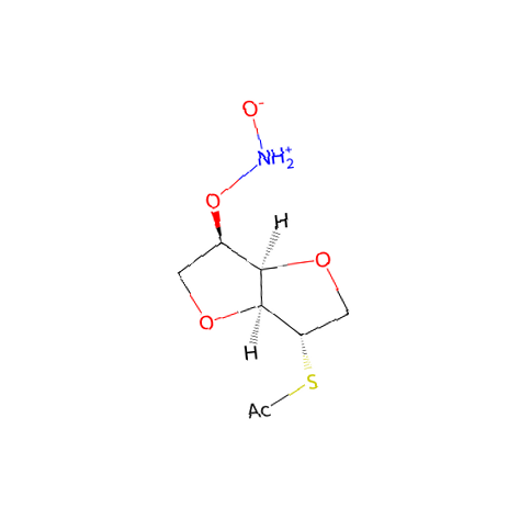 CC(=O)S[C@H]1CO[C@H]2[C@@H]1OC[C@H]2O[NH2+][O-]